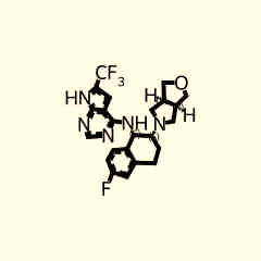 Fc1ccc2c(c1)CC[C@H](N1C[C@H]3COC[C@H]3C1)[C@H]2Nc1ncnc2[nH]c(C(F)(F)F)cc12